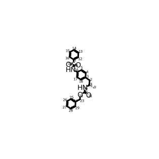 C[C@@H](Cc1ccc(NS(=O)(=O)c2ccccc2)cc1)NC(=O)OCc1ccccc1